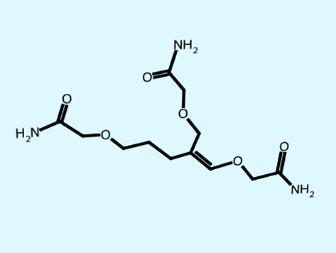 NC(=O)COC=C(CCCOCC(N)=O)COCC(N)=O